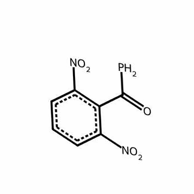 O=C(P)c1c([N+](=O)[O-])cccc1[N+](=O)[O-]